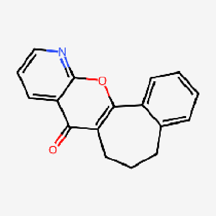 O=c1c2c(oc3ncccc13)-c1ccccc1CCC2